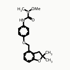 CON(C)C(=O)Nc1ccc(OCc2cccc3c2CC(C)(C)O3)cc1